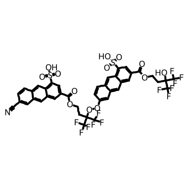 N#Cc1ccc2cc3c(S(=O)(=O)O)cc(C(=O)OCCC(OOc4ccc5cc6c(S(=O)(=O)O)cc(C(=O)OCCC(O)(C(F)(F)F)C(F)(F)F)cc6cc5c4)(C(F)(F)F)C(F)(F)F)cc3cc2c1